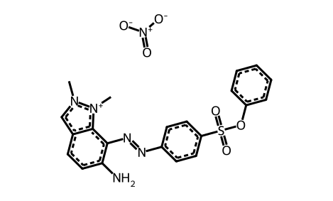 Cn1cc2ccc(N)c(N=Nc3ccc(S(=O)(=O)Oc4ccccc4)cc3)c2[n+]1C.O=[N+]([O-])[O-]